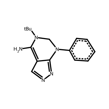 CC(C)(C)N1CN(c2ccccc2)C2=NN=CC2=C1N